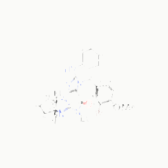 CCN1C(=O)c2c(nc(NC3CCCCC3)n2Cc2ccc(OC)c(Br)c2)N2C1=N[C@@H]1CCC[C@@H]12